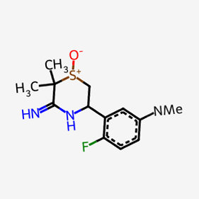 CNc1ccc(F)c(C2C[S+]([O-])C(C)(C)C(=N)N2)c1